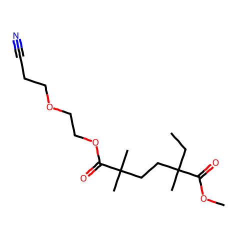 CCC(C)(CCC(C)(C)C(=O)OCCOCCC#N)C(=O)OC